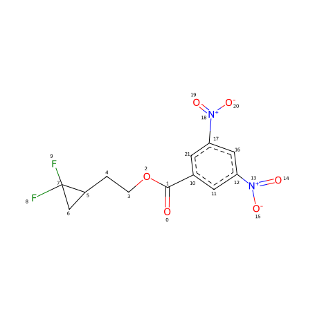 O=C(OCCC1CC1(F)F)c1cc([N+](=O)[O-])cc([N+](=O)[O-])c1